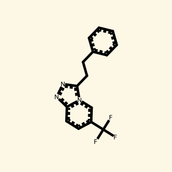 FC(F)(F)c1ccc2nnc(CCc3ccccc3)n2c1